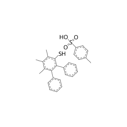 Cc1c(C)c(S)c(-c2ccccc2)c(-c2ccccc2)c1C.Cc1ccc(S(=O)(=O)O)cc1